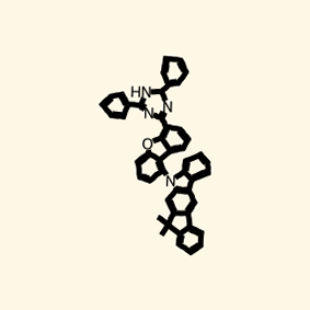 CC1(C)c2ccccc2-c2cc3c4ccccc4n(-c4cccc5oc6c(C7=NC(c8ccccc8)NC(c8ccccc8)=N7)cccc6c45)c3cc21